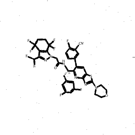 N#Cc1cc(-c2cc3sc(N4CCOCC4)nc3nc2[C@H](Cc2cc(F)cc(F)c2)NC(=O)Cn2nc(C(F)F)c3c2C(F)(F)CCC3(F)F)ccc1F